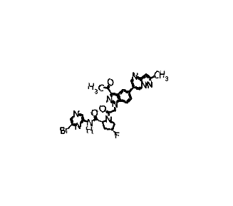 CC(=O)c1nn(CC(=O)N2C[C@H](F)C[C@H]2C(=O)Nc2cncc(Br)n2)c2ccc(-c3cnc4cc(C)nn4c3)cc12